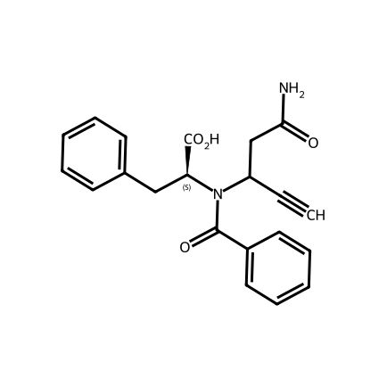 C#CC(CC(N)=O)N(C(=O)c1ccccc1)[C@@H](Cc1ccccc1)C(=O)O